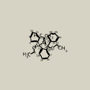 CCO[Si](OCC)(c1ccccc1)c1ccccc1[Si](OCC)(OCC)c1ccccc1